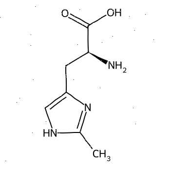 Cc1nc(C[C@H](N)C(=O)O)c[nH]1